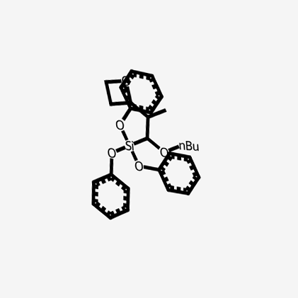 CCCCOC(C(C)C1CCO1)[Si](Oc1ccccc1)(Oc1ccccc1)Oc1ccccc1